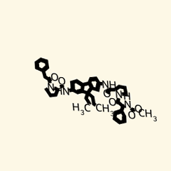 CCCC1(CCC)c2cc(NC(=O)C3CCCN3C(=O)C(NC(=O)OC)c3ccccc3)ccc2-c2ccc(NC(=O)[C@@H]3CCCN3C(=O)Cc3ccccc3)cc21